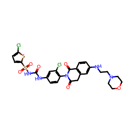 O=C(Nc1ccc(N2C(=O)Cc3cc(NCCN4CCOCC4)ccc3C2=O)c(Cl)c1)NS(=O)(=O)c1ccc(Cl)s1